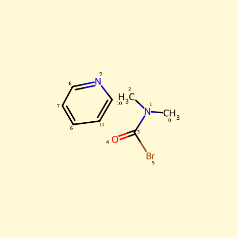 CN(C)C(=O)Br.c1ccncc1